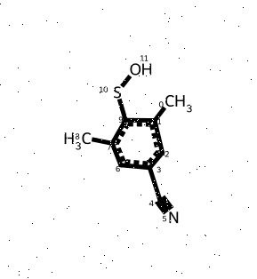 Cc1cc(C#N)cc(C)c1SO